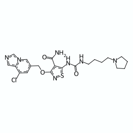 NC(=O)c1c(OCc2cc(Cl)c3cncn3c2)nsc1NC(=O)NCCCCN1CCCC1